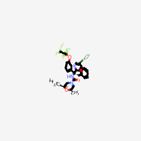 C[C@@H]1CN(C(=O)N[C@@](Cc2ccccc2)(c2cccc(OC(F)(F)C(F)F)c2)c2ccc(Cl)cn2)C[C@H](C)O1